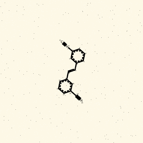 [C-]#[N+]c1cccc(C=Cc2cccc(C#N)c2)c1